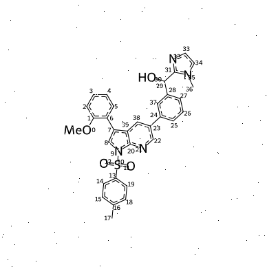 COc1ccccc1-c1cn(S(=O)(=O)c2ccc(C)cc2)c2ncc(-c3cccc(C(O)c4nccn4C)c3)cc12